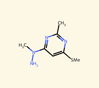 CSc1cc(N(C)N)nc(C)n1